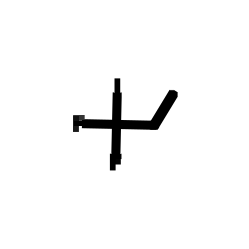 CCC(F)(F)I